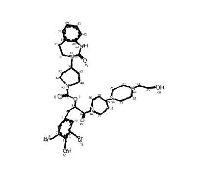 O=C(OC(Cc1cc(Br)c(O)c(Br)c1)C(=O)N1CCC(N2CCN(CCO)CC2)CC1)N1CCC(N2CCc3ccccc3NC2=O)CC1